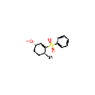 CC(C)[C@H]1CC[C@H](O)C=C1S(=O)(=O)c1ccccc1